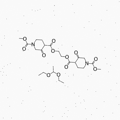 CCOC(C)OCC.COC(=O)N1CCC(C(=O)OCCOC(=O)C2CCN(C(=O)OC)CC2=O)C(=O)C1